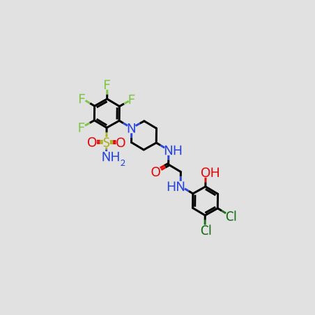 NS(=O)(=O)c1c(F)c(F)c(F)c(F)c1N1CCC(NC(=O)CNc2cc(Cl)c(Cl)cc2O)CC1